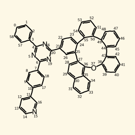 c1ccc(-c2nc(-c3ccc(-c4cccnc4)cc3)nc(-c3ccc4c(c3)-c3ccc5ccccc5c3Oc3ccccc3-c3ccccc3-c3ccccc3-4)n2)cc1